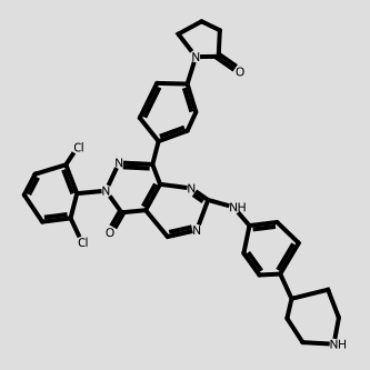 O=C1CCCN1c1ccc(-c2nn(-c3c(Cl)cccc3Cl)c(=O)c3cnc(Nc4ccc(C5CCNCC5)cc4)nc23)cc1